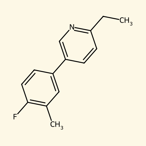 CCc1ccc(-c2ccc(F)c(C)c2)cn1